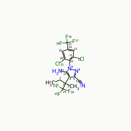 CCC(C)(c1c(C#N)nn(-c2c(Cl)cc(C(F)(F)F)cc2Cl)c1N)C(F)(F)F